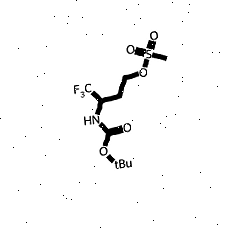 CC(C)(C)OC(=O)NC(CCOS(C)(=O)=O)C(F)(F)F